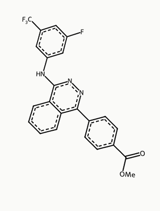 COC(=O)c1ccc(-c2nnc(Nc3cc(F)cc(C(F)(F)F)c3)c3ccccc23)cc1